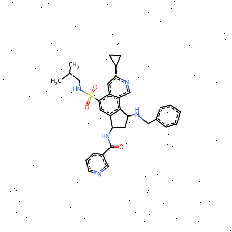 CC(C)CNS(=O)(=O)c1cc2c(c3cnc(C4CC4)cc13)C(NCc1ccccc1)CC2NC(=O)c1cccnc1